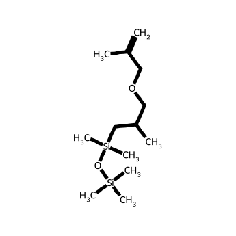 C=C(C)COCC(C)C[Si](C)(C)O[Si](C)(C)C